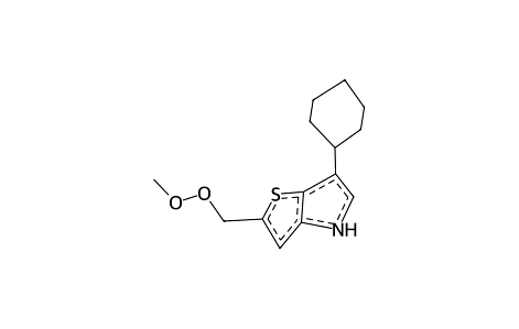 COOCc1cc2[nH]cc(C3CCCCC3)c2s1